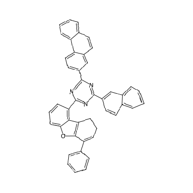 C1=C(c2ccccc2)c2oc3cccc(-c4nc(-c5ccc6ccccc6c5)nc(-c5ccc6c(ccc7ccccc76)c5)n4)c3c2CC1